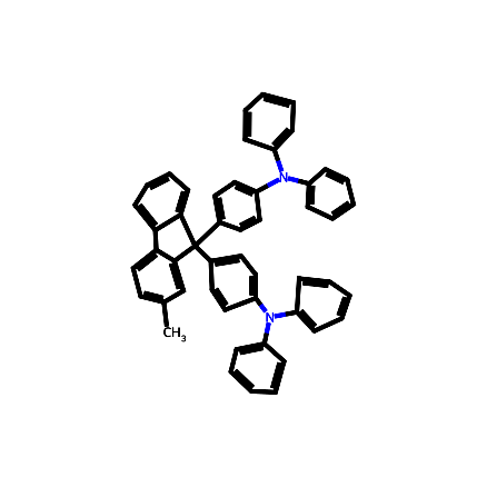 Cc1ccc2c(c1)C(c1ccc(N(c3ccccc3)c3ccccc3)cc1)(c1ccc(N(c3ccccc3)c3ccccc3)cc1)c1ccccc1-2